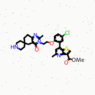 COC(=O)c1csc2c(-c3cc(Cl)ccc3OCCn3c(C)nc4c(c3=O)CC3(CCNCC3)CC4)cc(C)nc12